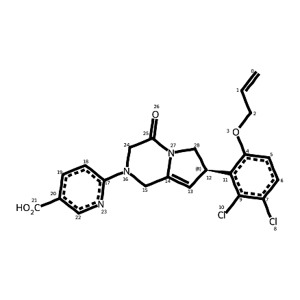 C=CCOc1ccc(Cl)c(Cl)c1[C@H]1C=C2CN(c3ccc(C(=O)O)cn3)CC(=O)N2C1